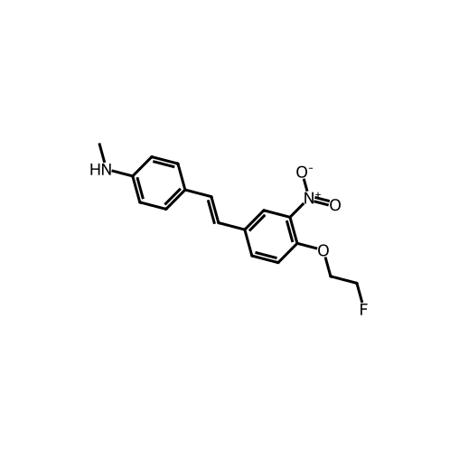 CNc1ccc(C=Cc2ccc(OCCF)c([N+](=O)[O-])c2)cc1